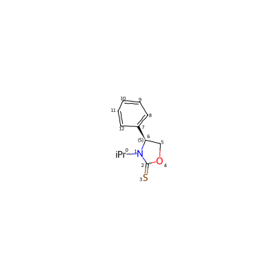 CC(C)N1C(=S)OC[C@@H]1c1ccccc1